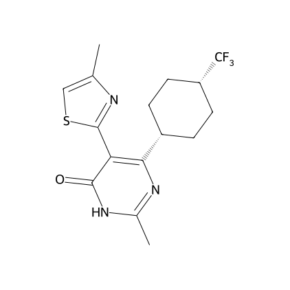 Cc1csc(-c2c(=O)[nH]c(C)nc2[C@H]2CC[C@@H](C(F)(F)F)CC2)n1